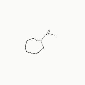 [C]NC1CCCCC1